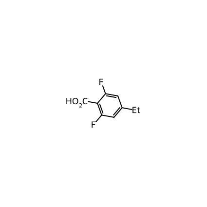 CCc1cc(F)c(C(=O)O)c(F)c1